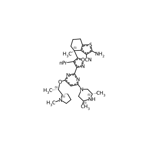 CCCc1c(-c2nc(O[C@@H](C)[C@@H]3CCCN3C)cc(N3C[C@H](C)N[C@@H](C)C3)n2)noc1[C@@]1(C)CCCc2sc(N)c(C#N)c21